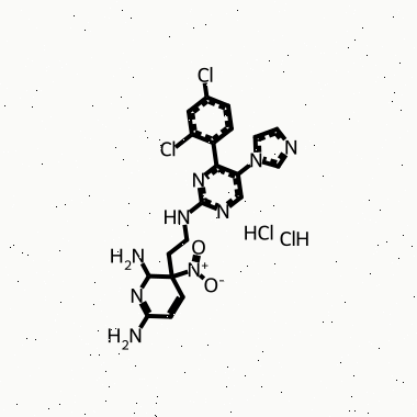 Cl.Cl.NC1=NC(N)C(CCNc2ncc(-n3ccnc3)c(-c3ccc(Cl)cc3Cl)n2)([N+](=O)[O-])C=C1